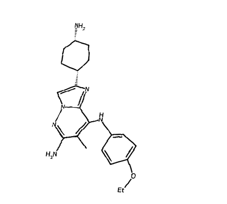 CCOc1ccc(Nc2c(C)c(N)nn3cc([C@H]4CC[C@@H](N)CC4)nc23)cc1